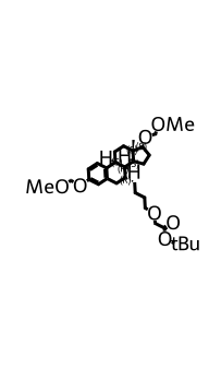 COCOc1ccc2c(c1)C[C@@H](CCCCOCC(=O)OC(C)(C)C)[C@@H]1[C@@H]2CC[C@]2(C)[C@@H](OCOC)CC[C@@H]12